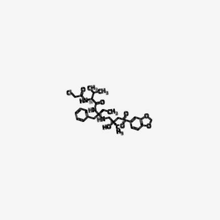 CC[C@](Cc1ccccc1)(NC[C@@](C)(O)CS(=O)(=O)c1ccc2c(c1)OCO2)NC(=O)[C@@H](NC(=O)CCl)C(C)C